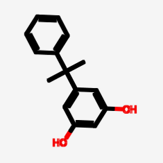 CC(C)(c1ccccc1)c1cc(O)cc(O)c1